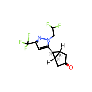 O=C1C[C@@H]2[C@H](C1)[C@H]2c1cc(C(F)(F)F)nn1CC(F)F